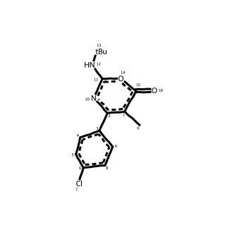 Cc1c(-c2ccc(Cl)cc2)nc(NC(C)(C)C)oc1=O